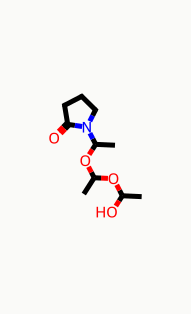 CC(O)OC(C)OC(C)N1CCCC1=O